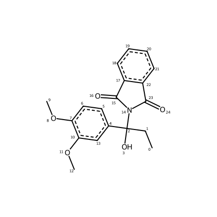 CCC(O)(c1ccc(OC)c(OC)c1)N1C(=O)c2ccccc2C1=O